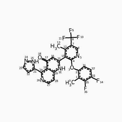 Cc1c(Oc2ncc(C(F)(F)F)c(C)c2-c2cc(=O)c3c(-c4ccn[nH]4)nccc3[nH]2)ccc(F)c1F